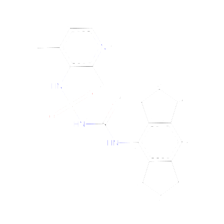 Cc1ccnc(C)c1NS(=O)(=O)NC(=O)Nc1c2c(cc3c1CCC3)CCC2